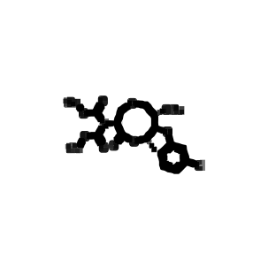 CC(C)CO[C@H]1COC[C@H](N(C(=O)OC(C)(C)C)C(=O)OC(C)(C)C)C(=O)O[C@@H](C)[C@@H]1Oc1cccc(Cl)c1